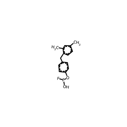 Cc1ccc(Cc2ccc(OP(O)F)cc2)c(C)c1